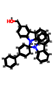 OCc1ccc2c(c1)c1ccccc1n2C1(n2c3ccccc3c3ccccc32)C=CC(c2ccccc2)=CC1